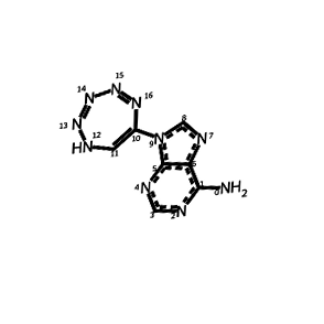 Nc1ncnc2c1ncn2C1=CNN=NN=N1